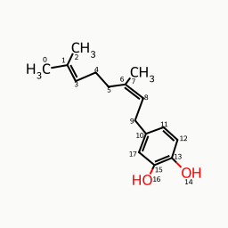 CC(C)=CCCC(C)=CCc1ccc(O)c(O)c1